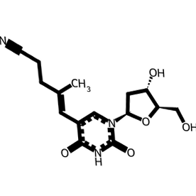 C/C(=C\c1cn([C@H]2C[C@H](O)[C@@H](CO)O2)c(=O)[nH]c1=O)CCC#N